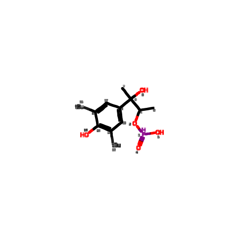 CC(O[PH](=O)O)C(C)(O)c1cc(C(C)(C)C)c(O)c(C(C)(C)C)c1